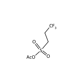 CC(=O)OS(=O)(=O)CCC(F)(F)F